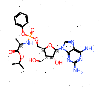 CC(C)OC(=O)[C@@H](C)NP(=O)(OC[C@H]1O[C@@H](n2cnc3c(N)nc(N)nc32)[C@H](O)[C@@H]1CO)Oc1ccccc1